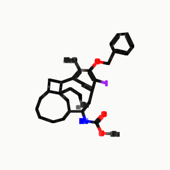 CC[C@H](C)CCC12CC3CCCCCC1CC2c1cc(c(I)c(OCc2ccccc2)c1OC)CC3NC(=O)OC(C)(C)C